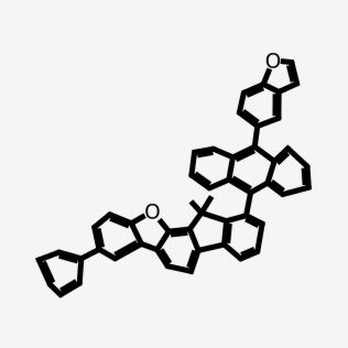 CC1(C)c2c(cccc2-c2c3ccccc3c(-c3ccc4occc4c3)c3ccccc23)-c2ccc3c(oc4ccc(-c5ccccc5)cc43)c21